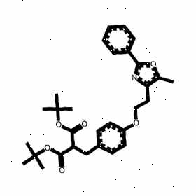 Cc1oc(-c2ccccc2)nc1CCOc1ccc(CC(C(=O)OC(C)(C)C)C(=O)OC(C)(C)C)cc1